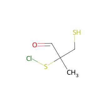 CC(C=O)(CS)SCl